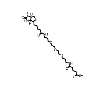 CC(C)C(=O)CCCC(=O)NCCCOCCOCCOCCCNC(=O)CCCC[C@@H]1SC[C@@H]2NC(=O)N[C@@H]21